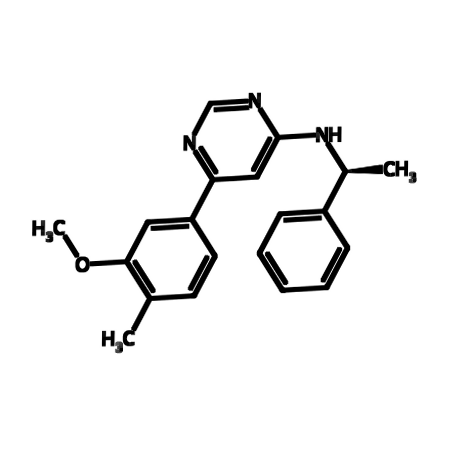 COc1cc(-c2cc(N[C@@H](C)c3ccccc3)ncn2)ccc1C